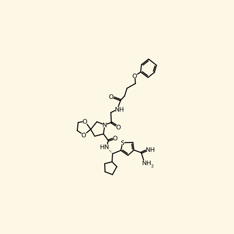 N=C(N)c1csc([C@@H](NC(=O)C2CC3(CN2C(=O)CNC(=O)CCCOc2ccccc2)OCCO3)C2CCCC2)c1